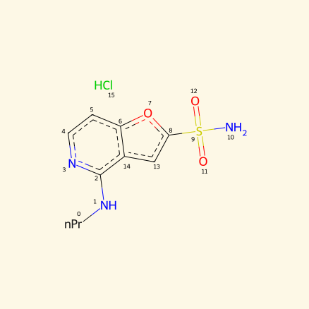 CCCNc1nccc2oc(S(N)(=O)=O)cc12.Cl